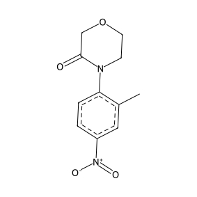 Cc1cc([N+](=O)[O-])ccc1N1CCOCC1=O